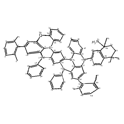 Cc1cccc(C)c1-c1cc2c3c(c1)N(c1ccccc1)c1cc4c(cc1B3c1ccccc1O2)B1c2ccccc2N(c2ccc3c(c2)C(C)(N)CCC3(C)C)c2cc(-c3c(C)cccc3C)cc(c21)N4c1ccccc1